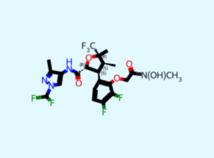 Cc1nn(C(F)F)cc1NC(=O)[C@@H]1O[C@@](C)(C(F)(F)F)[C@@H](C)[C@H]1c1ccc(F)c(F)c1OCC(=O)N(C)O